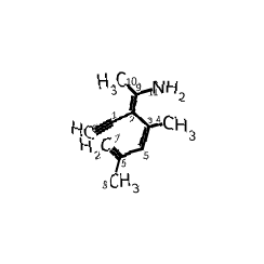 C#CC(/C(C)=C\C(=C)C)=C(\C)N